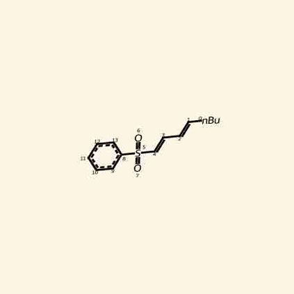 CCCC/C=C/C=C/S(=O)(=O)c1ccccc1